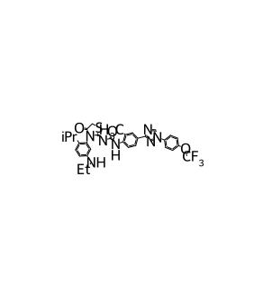 CCNc1ccc(C(C)C)c(N2C(=O)CS/C2=N\C(=O)Nc2ccc(-c3ncn(-c4ccc(OC(F)(F)F)cc4)n3)cc2C)c1